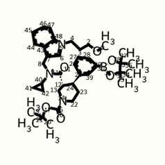 COCCCn1cc(CN(C(=O)[C@H]2CN(C(=O)OC(C)(C)C)CC[C@@H]2c2cccc(B3OC(C)(C)C(C)(C)O3)c2)C2CC2)c2ccccc21